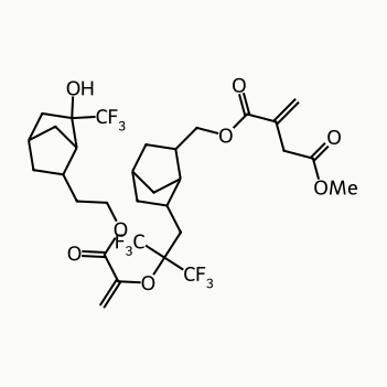 C=C(CC(=O)OC)C(=O)OCC1CC2CC(CC(OC(=C)C(=O)OCCC3CC4CC3C(O)(C(F)(F)F)C4)(C(F)(F)F)C(F)(F)F)C1C2